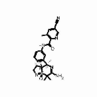 Cc1cc(C#N)cnc1C(=O)Nc1ccc(F)c([C@@]2(C)N=C(N)C(C)(C)S3(=O)=NCC[C@H]23)c1